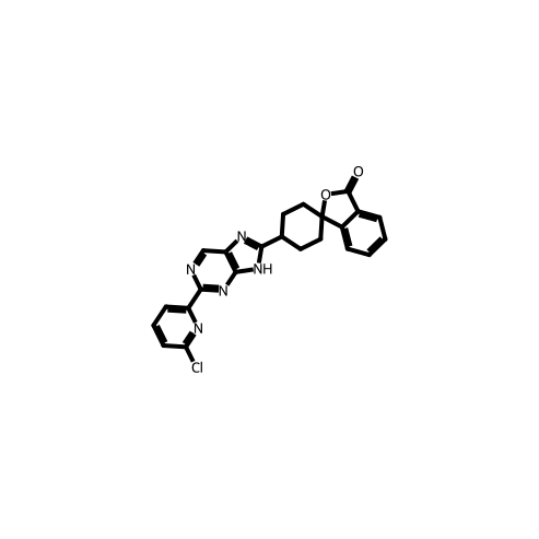 O=C1OC2(CCC(c3nc4cnc(-c5cccc(Cl)n5)nc4[nH]3)CC2)c2ccccc21